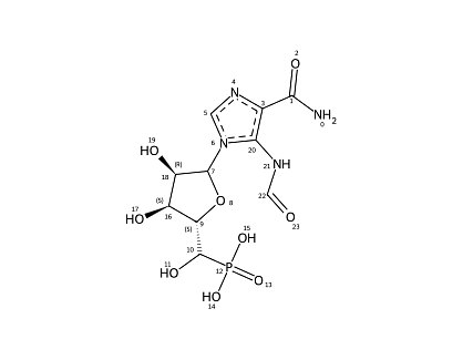 NC(=O)c1ncn(C2O[C@H](C(O)P(=O)(O)O)[C@@H](O)[C@H]2O)c1NC=O